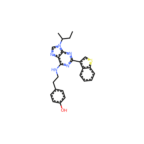 CCC(C)n1cnc2c(NCCc3ccc(O)cc3)nc(-c3csc4ccccc34)nc21